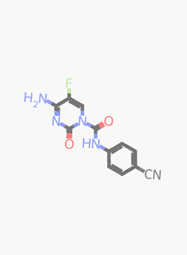 N#Cc1ccc(NC(=O)n2cc(F)c(N)nc2=O)cc1